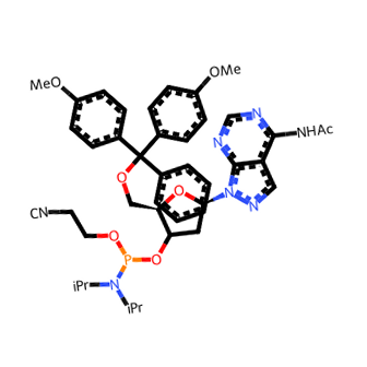 [C-]#[N+]CCOP(OC1C[C@H](n2ncc3c(NC(C)=O)ncnc32)O[C@@H]1COC(c1ccccc1)(c1ccc(OC)cc1)c1ccc(OC)cc1)N(C(C)C)C(C)C